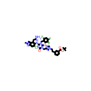 Cn1cc2c(CCN)c(Nc3nc(=O)n(Cc4ncn(CCc5cccc(C(=O)OC(C)(C)C)c5)n4)c(=O)n3Cc3cc(F)c(F)cc3F)c(Cl)cc2n1